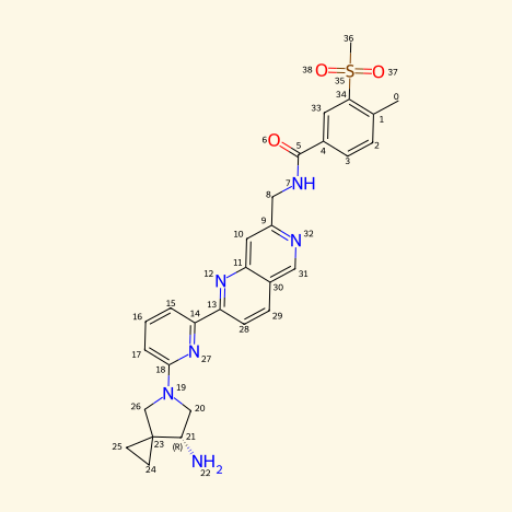 Cc1ccc(C(=O)NCc2cc3nc(-c4cccc(N5C[C@H](N)C6(CC6)C5)n4)ccc3cn2)cc1S(C)(=O)=O